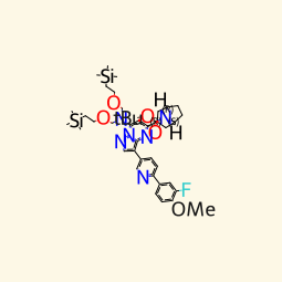 COc1ccc(-c2ccc(-c3cnn4c(N(COCC[Si](C)(C)C)COCC[Si](C)(C)C)cc([C@H]5C[C@H]6CC[C@@H](C5)N6C(=O)OC(C)(C)C)nc34)cn2)cc1F